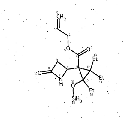 C=CCOC(=O)C1(C2CC(=O)N2)C(CC)(CC)C1(CC)O[SiH3]